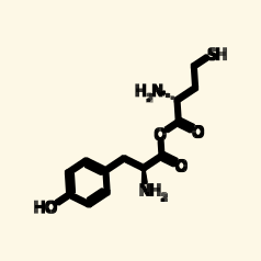 N[C@H](CCS)C(=O)OC(=O)[C@@H](N)Cc1ccc(O)cc1